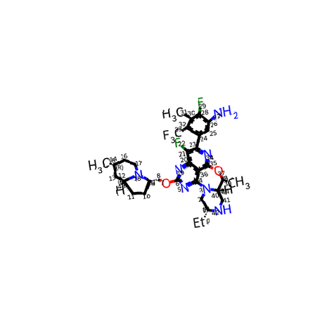 CC[C@@H]1CN2c3nc(OC[C@@H]4CC[C@@H]5C[C@H](C)CCN54)nc4c(F)c(-c5cc(N)c(F)c(C)c5C(F)(F)F)nc(c34)O[C@@H](C)[C@@H]2CN1